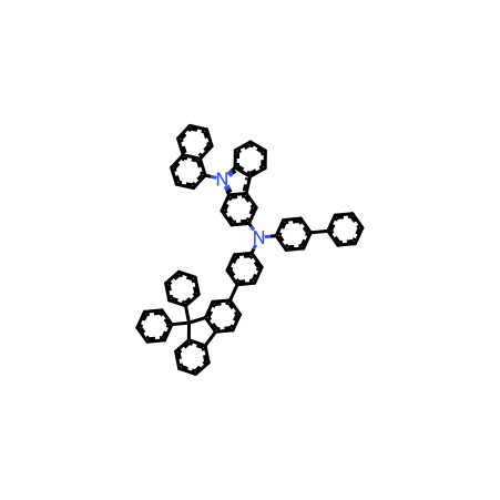 c1ccc(-c2ccc(N(c3ccc(-c4ccc5c(c4)C(c4ccccc4)(c4ccccc4)c4ccccc4-5)cc3)c3ccc4c(c3)c3ccccc3n4-c3cccc4ccccc34)cc2)cc1